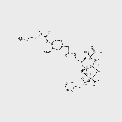 C=C(C)[C@]12C[C@@H](C)[C@@]34O[C@](Cc5ccccc5)(O[C@@H]1[C@@H]3CC(COC(=O)Cc1ccc(OC(=O)N(C)CCCN)c(OC)c1)=C[C@]1(O)C(=O)C(C)=C[C@@H]41)O2